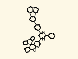 c1ccc(-c2nc(-c3ccc(-c4ccc5c(c4)-c4cccc6cccc-5c46)cc3)cc(-c3ccc4c(c3)C3(c5ccccc5O4)c4ccccc4-c4ccccc43)n2)cc1